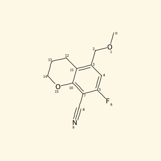 COCc1cc(F)c(C#N)c2c1CCCO2